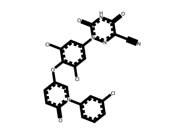 N#Cc1nn(-c2cc(Cl)c(Oc3ccc(=O)n(-c4cccc(Cl)c4)c3)c(Cl)c2)c(=O)[nH]c1=O